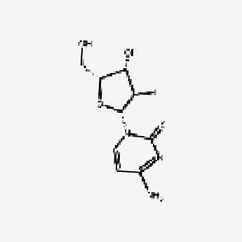 Nc1ccn([C@@H]2O[C@H](CO)[C@H](O)C2F)c(=S)n1